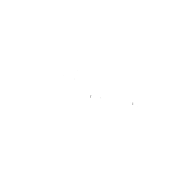 NC(=O)c1cc[c]cc1C(=O)NCCC(=O)O